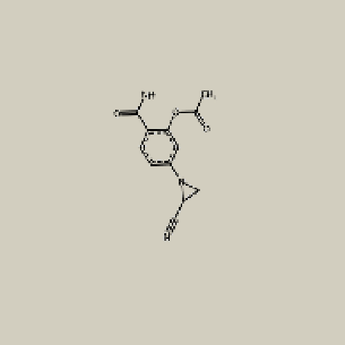 CC(=O)Oc1cc(N2CC2C#N)ccc1C([NH])=O